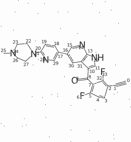 C#Cc1ccc(F)c(C(=O)c2c[nH]c3ncc(-c4ccc(N5CCN(C)CC5)nc4)cc23)c1F